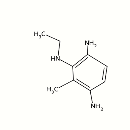 CCNc1c(N)ccc(N)c1C